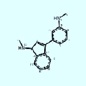 CNc1cccc(C2=CC(NC)c3ccccc32)c1